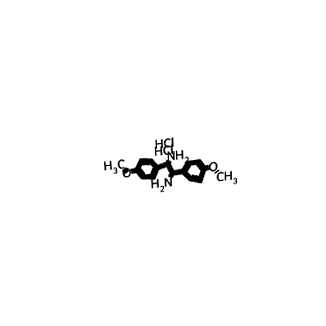 COc1ccc(C(N)C(N)c2ccc(OC)cc2)cc1.Cl.Cl